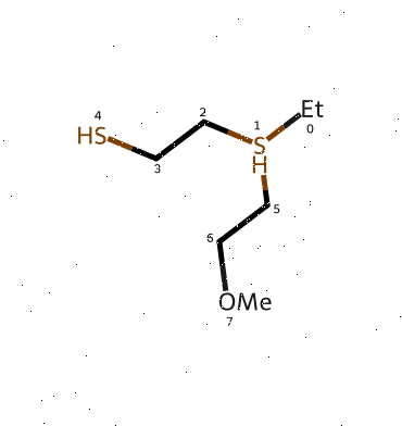 CC[SH](CCS)CCOC